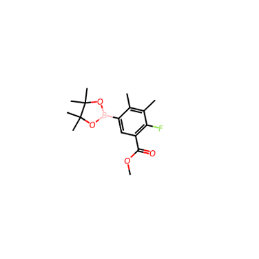 COC(=O)c1cc(B2OC(C)(C)C(C)(C)O2)c(C)c(C)c1F